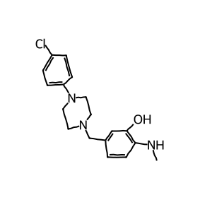 CNc1ccc(CN2CCN(c3ccc(Cl)cc3)CC2)cc1O